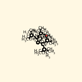 CCC(C)(C)c1c(-c2cc(-c3cc(C(C)(C)C)cc(C(C)(C)C)c3)nc(-c3cc(C(C)(C)C)cc(C(C)(C)C)c3)c2)cccc1-c1cc(-c2cc(C(C)(C)C)cc(C(C)(C)C)c2)nc(-c2cc(C(C)(C)C)cc(C(C)(C)C)c2)c1